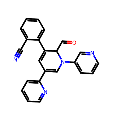 N#Cc1ccccc1C1=CC(c2ccccn2)=CN(c2cccnc2)C1C=O